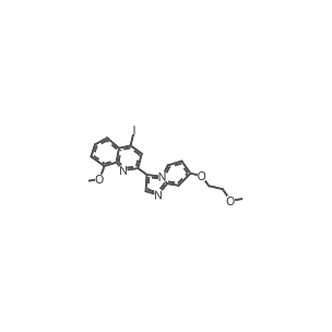 COCCOc1ccn2c(-c3cc(I)c4cccc(OC)c4n3)cnc2c1